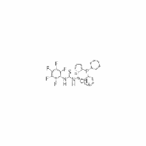 C[C@@H](NC(=S)Nc1c(F)c(F)c(F)c(F)c1F)[C@@H]1C=CC=C1P(c1ccccc1)c1ccccc1